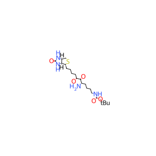 CC(C)(C)OC(=O)NCCCC[C@H](N)C(=O)C(=O)CCCC[C@@H]1SC[C@@H]2NC(=O)N[C@@H]21